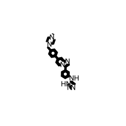 CN1CCN(Cc2ccc(-c3ccn4c(-c5cccc(Nc6cnn[nH]6)c5)cnc4c3)cc2)CC1